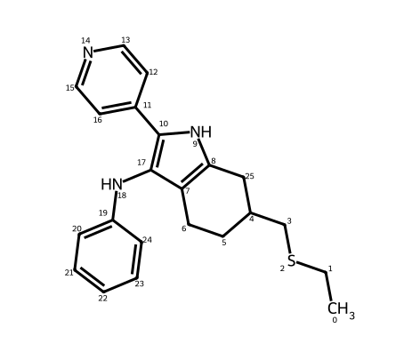 CCSCC1CCc2c([nH]c(-c3ccncc3)c2Nc2ccccc2)C1